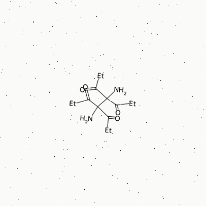 CCC(=O)C(N)(C(=O)CC)C(N)(C(=O)CC)C(=O)CC